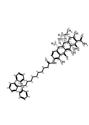 C[C@H]1c2ccc(NC(=O)CCCCCCCCC[PH](c3ccccc3)(c3ccccc3)c3ccccc3)c(O)c2C(=O)C2=C(O)[C@]3(O)C(=O)C(C(N)=O)=C(O)[C@@H](N(C)C)[C@@H]3[C@@H](O)[C@@H]21